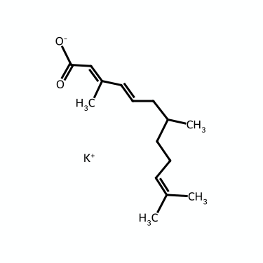 CC(C)=CCCC(C)C/C=C/C(C)=C/C(=O)[O-].[K+]